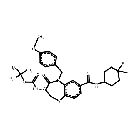 COc1ccc(CN2C(=O)[C@@H](NC(=O)OC(C)(C)C)CSc3ccc(C(=O)NC4CCC(F)(F)CC4)cc32)cc1